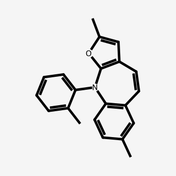 Cc1ccc2c(c1)C=Cc1cc(C)oc1N2c1ccccc1C